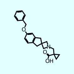 O=C(O)C1(CN2CC3(Cc4ccc(OCc5ccccc5)cc4C3)C2)CC1